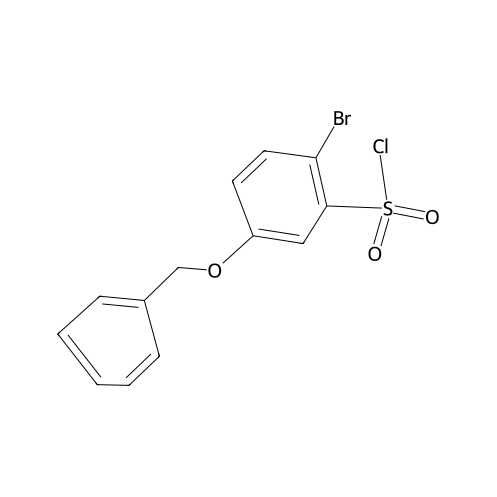 O=S(=O)(Cl)c1cc(OCc2ccccc2)ccc1Br